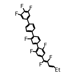 CC/C=C/C(F)=C(\F)c1cc(F)c(-c2ccc(-c3ccc(-c4cc(F)c(F)c(F)c4)cc3)c(F)c2)c(F)c1